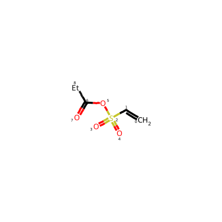 C=CS(=O)(=O)OC(=O)CC